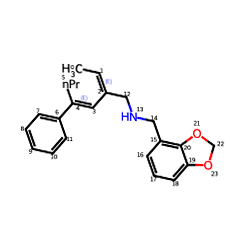 C/C=C(\C=C(/CCC)c1ccccc1)CNCc1cccc2c1OCO2